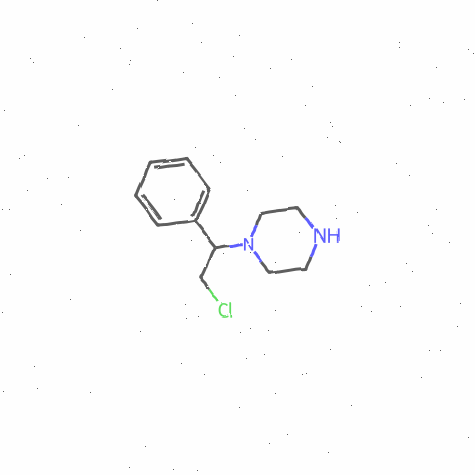 ClCC(c1ccccc1)N1CCNCC1